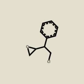 ClCC(c1ccccc1)C1CO1